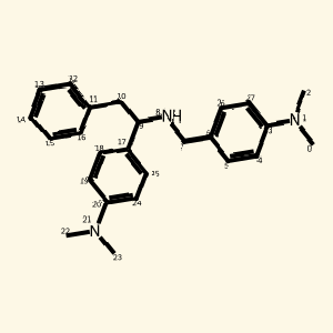 CN(C)c1ccc(CNC(Cc2ccccc2)c2ccc(N(C)C)cc2)cc1